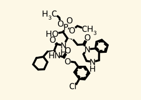 CCOP(=O)(OCC)C(O)[C@H](CCC(=O)N1CCNCc2ccccc21)NC(=O)[C@H](CC1CCCCC1)NC(=O)OCc1cccc(Cl)c1